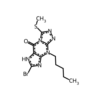 CCCCCn1c2nc(Br)[nH]c2c(=O)n2c(SC)nnc12